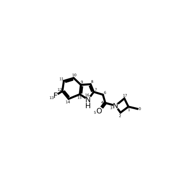 CC1CN(C(=O)Cc2cc3ccc(F)cc3[nH]2)C1